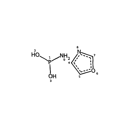 NP(O)O.c1cocn1